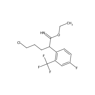 CCOC(=N)C(CCCCl)c1ccc(F)cc1C(F)(F)F